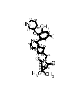 Cc1cc(Cl)cc(-c2ncnn3cc(CN4C(=O)C5C(C4=O)C5(C)C)cc23)c1OC1CCCNC1